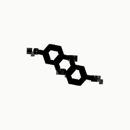 Cc1ccc(Nc2cccc(N)c2)c([N+](=O)[O-])c1